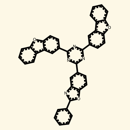 c1ccc(-c2nc3cc(-c4nc(-c5ccc6oc7ccccc7c6c5)nc(-c5ccc6oc7ccccc7c6c5)n4)ccc3o2)cc1